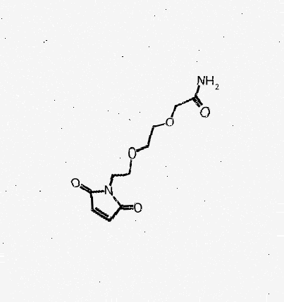 NC(=O)COCCOCCN1C(=O)C=CC1=O